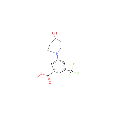 COC(=O)c1cc(N2CCC(O)CC2)cc(C(F)(F)F)c1